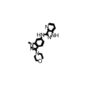 Cn1nc(N2CCOCC2)c2ccc(Nc3n[nH]c4cccnc34)cc21